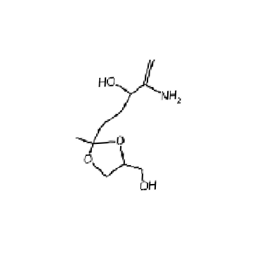 C=C(N)C(O)CCC1(C)OCC(CO)O1